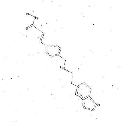 O=C(/C=C/c1ccc(CNCCc2ccc3[nH]ccc3c2)cc1)NO